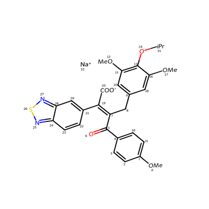 COc1ccc(C(=O)/C(Cc2cc(OC)c(OC(C)C)c(OC)c2)=C(/C(=O)[O-])c2ccc3nsnc3c2)cc1.[Na+]